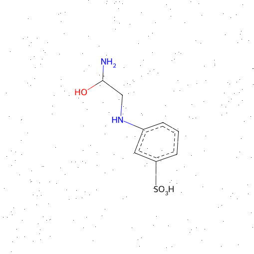 NC(O)CNc1cccc(S(=O)(=O)O)c1